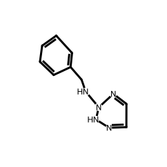 C1=NNN(NCc2ccccc2)N=C1